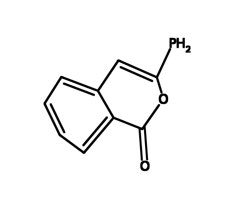 O=c1oc(P)cc2ccccc12